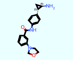 N[C@@H]1C[C@H]1c1ccc(NC(=O)c2cccc(N3CCOC3)c2)cc1